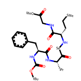 COC(=O)CNC(=O)[C@H](CCSC)N[Se]C(=O)[C@@H](NC(=O)[C@H](Cc1ccccc1)NC(=O)OC(C)(C)C)C(C)C